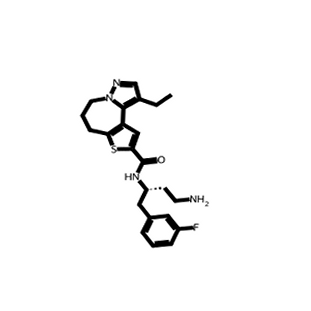 CCc1cnn2c1-c1cc(C(=O)N[C@H](CCN)Cc3cccc(F)c3)sc1CCC2